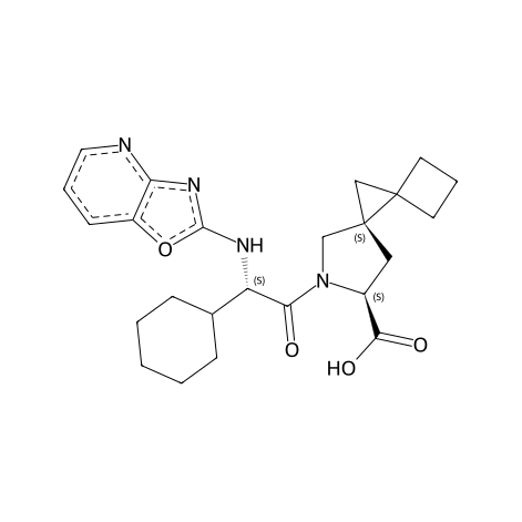 O=C(O)[C@@H]1C[C@@]2(CN1C(=O)[C@@H](Nc1nc3ncccc3o1)C1CCCCC1)CC21CCC1